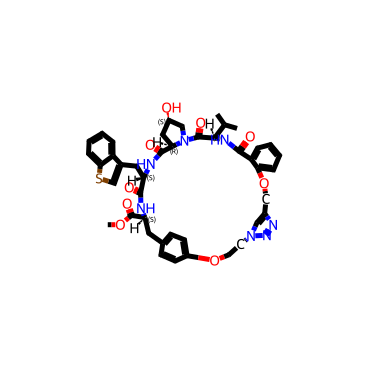 COC(=O)[C@@H]1Cc2ccc(cc2)OCCn2cc(nn2)COc2ccccc2C(=O)N[C@H](C(C)C)C(=O)N2C[C@@H](O)C[C@@H]2C(=O)N[C@@H](Cc2csc3ccccc23)C(=O)N1